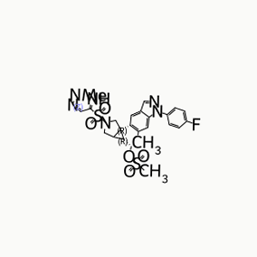 CN/N=C\C(=N)S(=O)(=O)N1CC2[C@@H](COS(C)(=O)=O)[C@]2(c2cc3cnn(-c4ccc(F)cc4)c3cc2C)C1